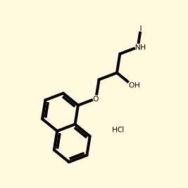 Cl.OC(CNI)COc1cccc2ccccc12